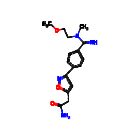 COCCN(C)C(=N)c1ccc(-c2cc(CC(N)=O)on2)cc1